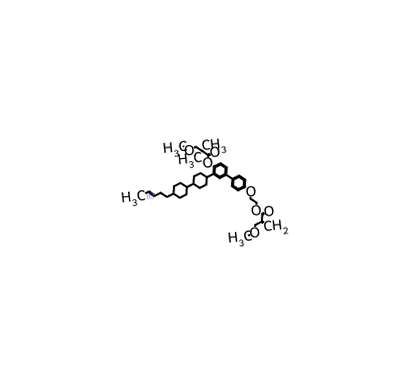 C=C(COC)C(=O)OCCOc1ccc(-c2ccc(OC(=O)C(C)(C)COC)c(C3CCC(C4CCC(CC/C=C/C)CC4)CC3)c2)cc1